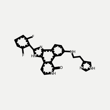 O=c1[nH]ccc2c3[nH]c(-c4c(F)cccc4F)nc3c3ccc(NCCc4c[nH]cn4)cc3c12